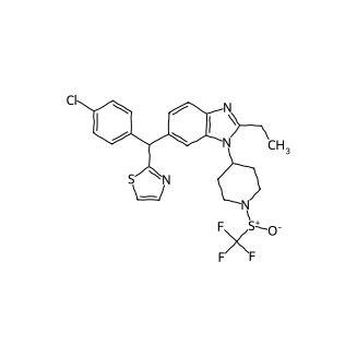 CCc1nc2ccc(C(c3ccc(Cl)cc3)c3nccs3)cc2n1C1CCN([S+]([O-])C(F)(F)F)CC1